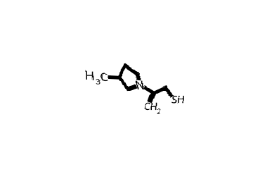 C=C(CS)N1CCC(C)C1